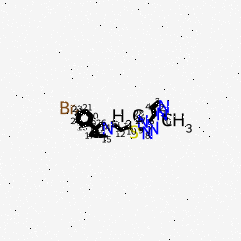 Cn1nccc1-c1nnc(SCCCN2CC3CC3(c3ccc(Br)cc3)C2)n1C